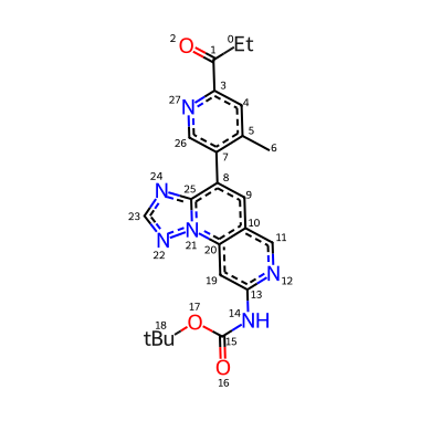 CCC(=O)c1cc(C)c(-c2cc3cnc(NC(=O)OC(C)(C)C)cc3n3ncnc23)cn1